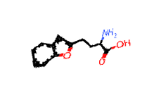 NC(CCc1cc2ccccc2o1)C(=O)O